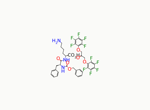 NCCCC[C@H](NC(=O)[C@H](Cc1ccccc1)NC(=O)OCc1ccccc1)C(=O)O.O=C(COc1c(F)c(F)c(F)c(F)c1F)COc1c(F)c(F)c(F)c(F)c1F